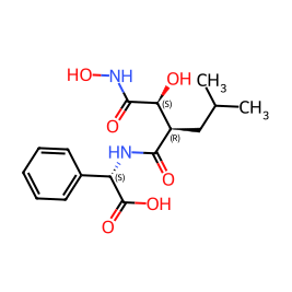 CC(C)C[C@@H](C(=O)N[C@H](C(=O)O)c1ccccc1)[C@H](O)C(=O)NO